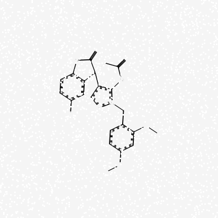 COc1ccc(Cn2ncc3c2NC(=O)C[C@]32C(=O)Nc3ccc(Cl)cc32)c(OC)c1